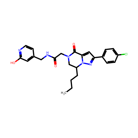 CCCCC1CN(CC(=O)NCc2ccnc(O)c2)C(=O)c2cc(-c3ccc(Cl)cc3)nn21